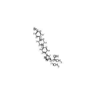 CC[C@@H]([C@H](C)O)n1cc(-c2ccc(N3CCN(c4ccc(Br)cc4)CC3)cc2)nn1